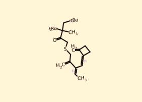 C=C1CC/C1=C/C(=C\C)C(=C)CSCC(=O)C(C)(CC(C)(C)C)C(C)(C)C